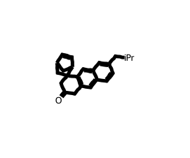 CC(C)Cc1ccc2cc3c(cc2c1)C1(CC(=O)C3)CC2C=CC1C2